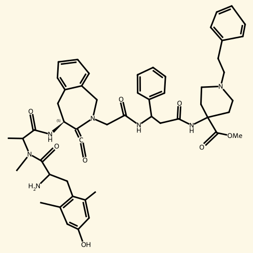 COC(=O)C1(NC(=O)CC(NC(=O)CN2Cc3ccccc3C[C@H](NC(=O)C(C)N(C)C(=O)C(N)Cc3c(C)cc(O)cc3C)C2=C=O)c2ccccc2)CCN(CCc2ccccc2)CC1